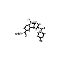 CCCCCCC(=O)c1ccc2c(c1)c1cc(C(=O)c3ccc(O)cc3)ccc1n2CC